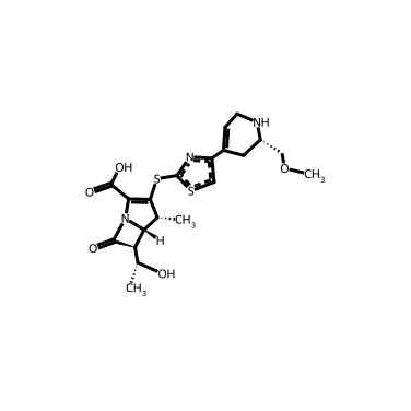 COC[C@@H]1CC(c2csc(SC3=C(C(=O)O)N4C(=O)[C@H]([C@@H](C)O)[C@H]4[C@H]3C)n2)=CCN1